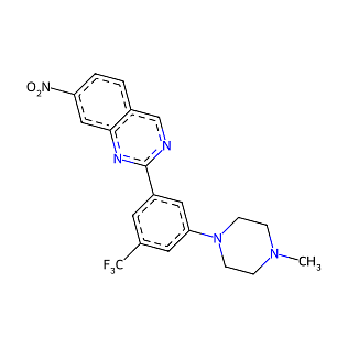 CN1CCN(c2cc(-c3ncc4ccc([N+](=O)[O-])cc4n3)cc(C(F)(F)F)c2)CC1